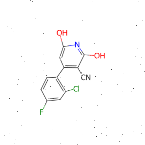 N#Cc1c(-c2ccc(F)cc2Cl)cc(O)nc1O